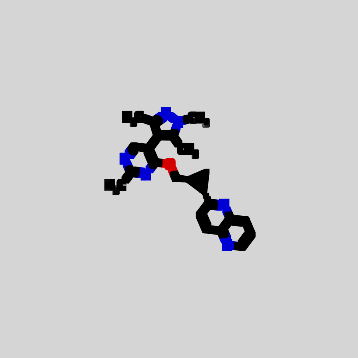 Cc1ncc(-c2c(C)nn(C)c2C)c(OC[C@H]2C[C@@H]2c2ccc3ncccc3n2)n1